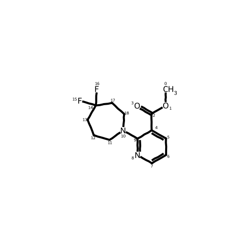 COC(=O)c1cccnc1N1CCCC(F)(F)CC1